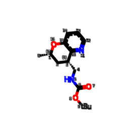 C[C@H]1C[C@@H](CNC(=O)OC(C)(C)C)c2ncccc2O1